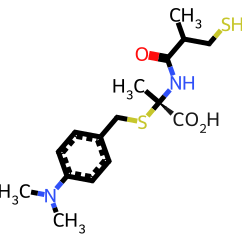 CC(CS)C(=O)N[C@@](C)(SCc1ccc(N(C)C)cc1)C(=O)O